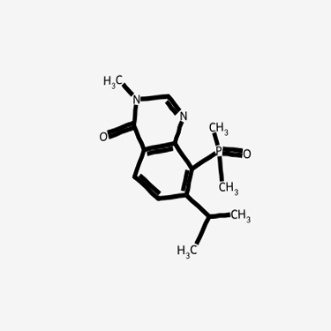 CC(C)c1ccc2c(=O)n(C)cnc2c1P(C)(C)=O